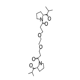 CC(C)C(=O)[C@@H]1CCCN1C(=O)CCOCCOCCC(=O)N1CCC[C@H]1C(=O)C(C)C